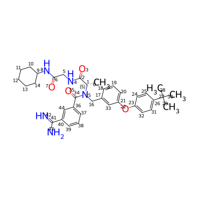 C[C@@H](C(=O)NCC(=O)NC1CCCCC1)N(Cc1cccc(Oc2ccc(C(C)(C)C)cc2)c1)C(=O)c1cccc(C(=N)N)c1